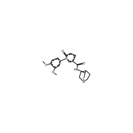 COc1ccc(-n2cc(C(=O)NC3CN4CCC3CC4)ccc2=O)cc1OC